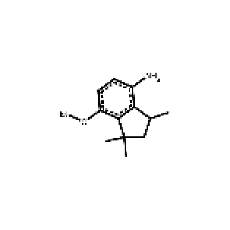 CCOc1ccc(N)c2c1C(C)(C)CC2C